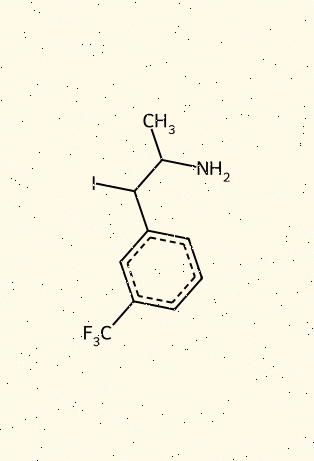 CC(N)C(I)c1cccc(C(F)(F)F)c1